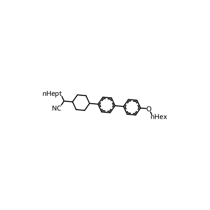 CCCCCCCC(C#N)C1CCC(c2ccc(-c3ccc(OCCCCCC)cc3)cc2)CC1